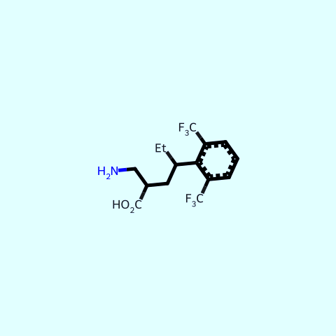 CCC(CC(CN)C(=O)O)c1c(C(F)(F)F)cccc1C(F)(F)F